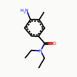 CCN(CC)C(=O)c1ccc(N)c(C)c1